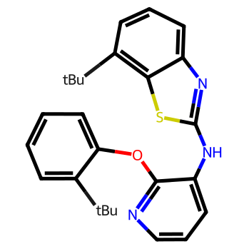 CC(C)(C)c1ccccc1Oc1ncccc1Nc1nc2cccc(C(C)(C)C)c2s1